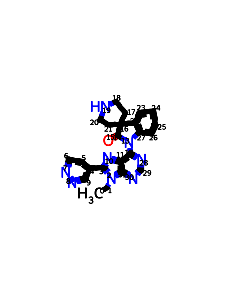 CCn1c(-c2ccnnc2)nc2c(N3C(=O)C4(CCNCC4)c4ccccc43)ncnc21